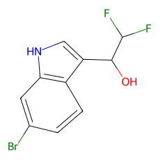 OC(c1c[nH]c2cc(Br)ccc12)C(F)F